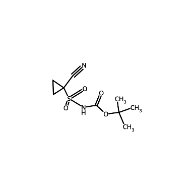 CC(C)(C)OC(=O)NS(=O)(=O)C1(C#N)CC1